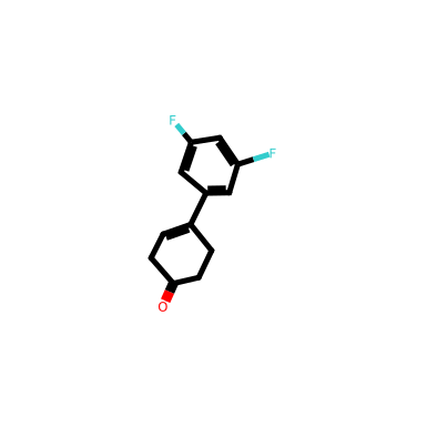 O=C1CC=C(c2cc(F)cc(F)c2)CC1